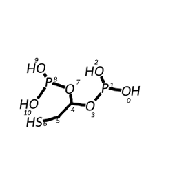 OP(O)OC(CS)OP(O)O